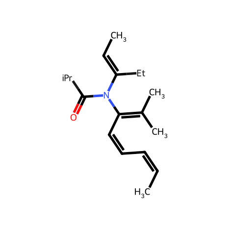 C/C=C\C=C/C(=C(C)C)N(C(=O)C(C)C)/C(=C/C)CC